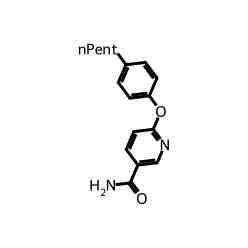 CCCCCc1ccc(Oc2ccc(C(N)=O)cn2)cc1